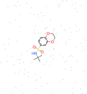 CC(C)(C)NS(=O)(=O)c1ccc2c(c1)OCCO2